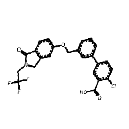 O=C(O)c1cc(-c2cccc(COc3ccc4c(c3)CN(CC(F)(F)F)C4=O)c2)ccc1Cl